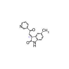 Cc1ccc2c(c1)/C(=C\C(=O)c1cccnc1)C(=O)N2